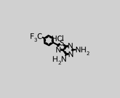 Cl.Nc1nc(N)c2nc(-c3ccc(C(F)(F)F)cc3)sc2n1